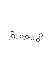 CC1(C)c2cc(-c3ccc(-c4cccc5c4sc4ccccc45)cc3)ccc2-c2ccc(-c3ccc4c(c3)c3ccccc3c3nccnc43)cc21